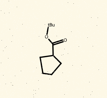 CC(C)(C)OC(=O)C1C[CH]CC1